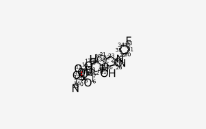 CC1(C(=O)O)OCCC1[C@]1(C(=O)SCC#N)CC[C@H]2[C@@H]3CCC4=Cc5c(cnn5-c5ccc(F)cc5)C[C@]4(C)[C@H]3[C@@H](O)C[C@@]21C